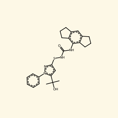 CC(C)(O)c1cc(SNC(=O)Nc2c3c(cc4c2CCC4)CCC3)nn1-c1ccccc1